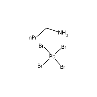 CCCCN.[Br][Pb]([Br])([Br])[Br]